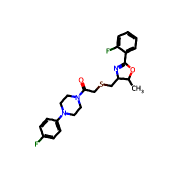 CC1OC(c2ccccc2F)=NC1CSCC(=O)N1CCN(c2ccc(F)cc2)CC1